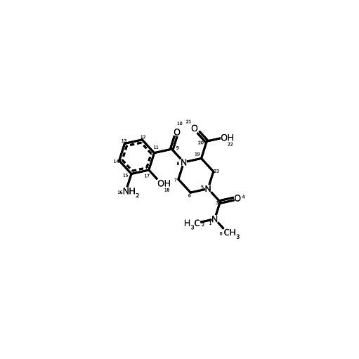 CN(C)C(=O)N1CCN(C(=O)c2cccc(N)c2O)C(C(=O)O)C1